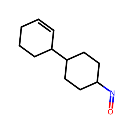 O=NC1CCC(C2C=CCCC2)CC1